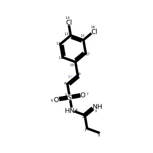 CCC(=N)NS(=O)(=O)/C=C/c1ccc(Cl)c(Cl)c1